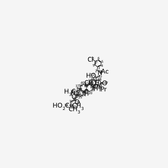 CC(=O)N(Cc1cccc(Cl)c1)CC(O)C12CC[C@]3(C)[C@H](CC[C@@H]4[C@@]5(C)CC[C@H](OC(=O)CC(C)(C)C(=O)O)C6(C)C[C@]65CC[C@]43C)C1=C(C(C)C)C(=O)C2